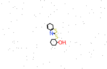 OC1CCCCC1Sc1nc2c(s1)CCC=C2